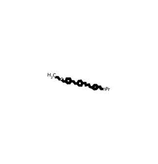 C=CCCOCc1ccc(CCC2CCC(CCCCc3ccc(C=CCCC)cc3)CC2)cc1